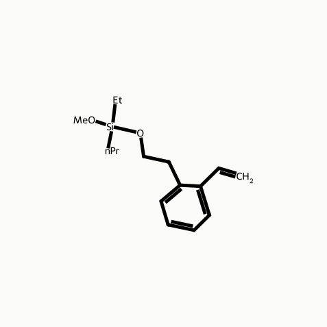 C=Cc1ccccc1CCO[Si](CC)(CCC)OC